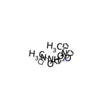 Cc1ccccc1CN1C(=O)/C(=C\c2ccc(C(=O)NCCN(C)C3CCCCC3)cc2)Oc2ccccc21